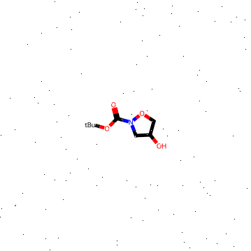 CC(C)(C)OC(=O)N1CC(O)CO1